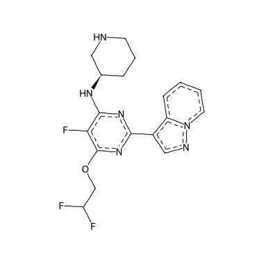 Fc1c(N[C@@H]2CCCNC2)nc(-c2cnn3ccccc23)nc1OCC(F)F